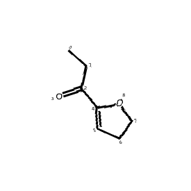 CCC(=O)C1=CCCO1